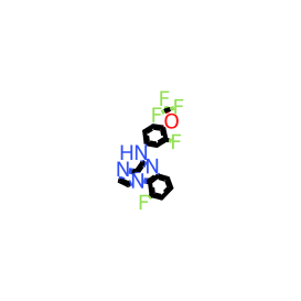 Fc1cc(Nc2nc3cccc(F)c3n3ccnc23)ccc1OC(F)(F)F